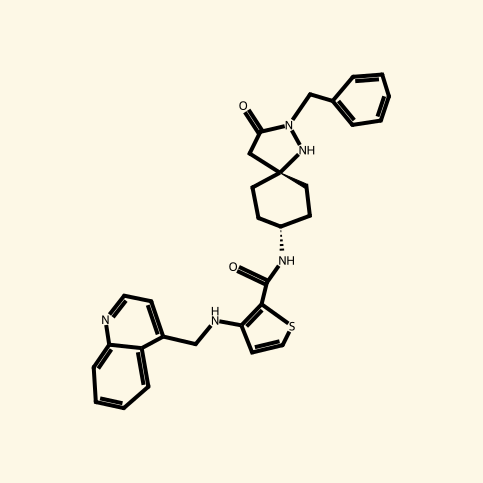 O=C(N[C@H]1CC[C@@]2(CC1)CC(=O)N(Cc1ccccc1)N2)c1sccc1NCc1ccnc2ccccc12